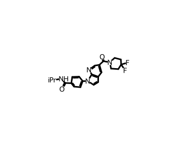 CC(C)NC(=O)c1ccc(-n2ccc3cc(C(=O)N4CCC(F)(F)CC4)cnc32)cc1